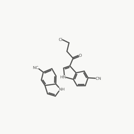 N#Cc1ccc2[nH]cc(C(=O)CCCl)c2c1.N#Cc1ccc2[nH]ccc2c1